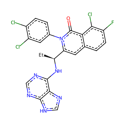 CC[C@H](Nc1ncnc2[nH]cnc12)c1cc2ccc(F)c(Cl)c2c(=O)n1-c1ccc(Cl)c(Cl)c1